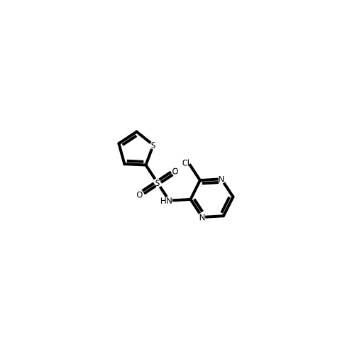 O=S(=O)(Nc1nccnc1Cl)c1cccs1